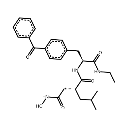 CCNC(=O)[C@H](Cc1ccc(C(=O)c2ccccc2)cc1)NC(=O)[C@@H](CC(=O)NO)CC(C)C